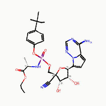 CCOC(=O)[C@H](C)NP(=O)(OC[C@@]1(C#N)O[C@@H](c2ccc3c(N)ncnn23)[C@H](O)[C@@H]1O)Oc1ccc(C(C)(C)C)cc1